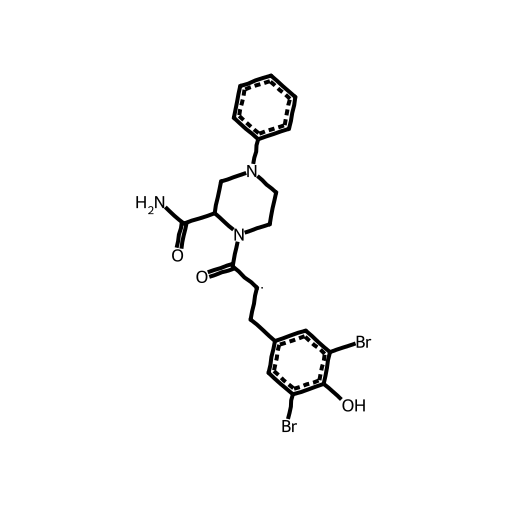 NC(=O)C1CN(c2ccccc2)CCN1C(=O)[CH]Cc1cc(Br)c(O)c(Br)c1